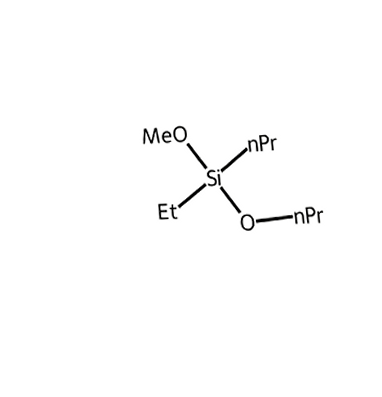 CCCO[Si](CC)(CCC)OC